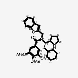 COc1cc(C(=O)N(Cc2cc3ccccc3o2)[C@@H](CC2CCCCC2)C2CCCN2)cc(OC)c1OC